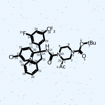 CC(=O)[C@@H]1CN(C(=O)OC(C)(C)C)CCN1C(=O)N[C@@](Cc1ccccc1)(c1cc(F)cc(C(F)(F)F)c1)c1ccc(Cl)cn1